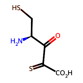 N[C@@H](CS)C(=O)C(=S)C(=O)O